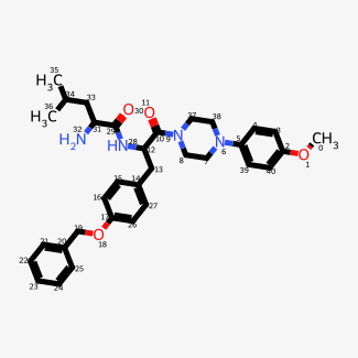 COc1ccc(N2CCN(C(=O)C(Cc3ccc(OCc4ccccc4)cc3)NC(=O)C(N)CC(C)C)CC2)cc1